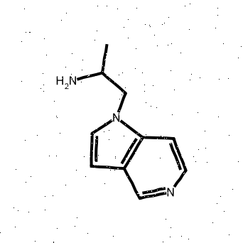 CC(N)Cn1ccc2cnccc21